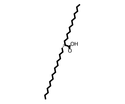 CCCCCCCCCCCCCCCC[C@H](CCCCCCCCCCCC)C(=O)O